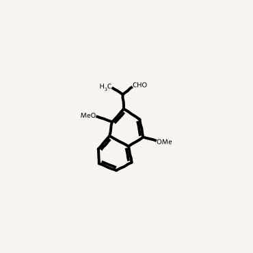 COc1cc(C(C)C=O)c(OC)c2ccccc12